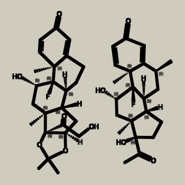 CC(=O)[C@@]1(O)CC[C@H]2[C@@H]3C[C@H](C)C4=CC(=O)C=C[C@]4(C)[C@@]3(F)[C@@H](O)C[C@@]21C.CC1(C)O[C@@H]2C[C@H]3[C@@H]4CCC5=CC(=O)C=C[C@]5(C)[C@@]4(F)[C@@H](O)C[C@]3(C)[C@]2(C(=O)CO)O1